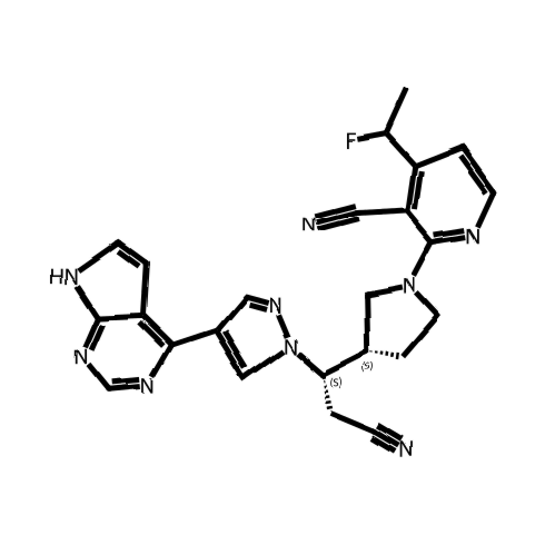 CC(F)c1ccnc(N2CC[C@H]([C@H](CC#N)n3cc(-c4ncnc5[nH]ccc45)cn3)C2)c1C#N